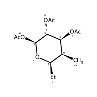 CC[C@H]1O[C@@H](OC(C)=O)[C@H](OC(C)=O)[C@@H](OC(C)=O)[C@H]1C